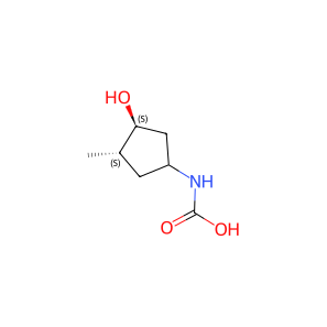 C[C@H]1CC(NC(=O)O)C[C@@H]1O